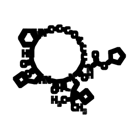 CC1(C)C2(CCC2)[C@@]12C[C@H]1C(=O)NC(CC3CCC3)C(=O)C(=O)Nc3ccccc3NCCCOCCC[C@H](NC(=O)OC3CCCC3)C(=O)N1C2